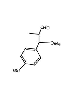 COC(c1ccc(C(C)(C)C)cc1)C(C)C=O